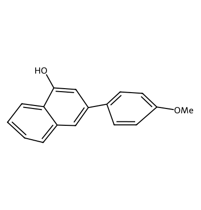 COc1ccc(-c2cc(O)c3ccccc3c2)cc1